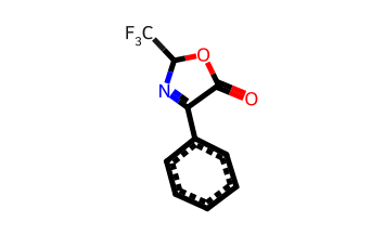 O=C1OC(C(F)(F)F)N=C1c1ccccc1